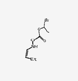 CC/C=C\NOC(=O)OC(C)C(C)CC